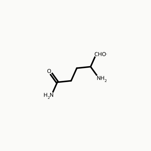 NC(=O)CCC(N)[C]=O